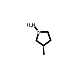 C[C@@H]1CCN(N)C1